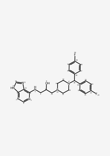 OC(CNc1ncnc2[nH]cnc12)CN1CCN(C(c2ccc(F)cc2)c2ccc(F)cc2)CC1